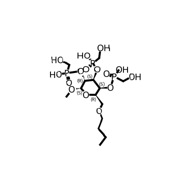 CCCCOC[C@H]1O[C@H](OC)[C@H](OP(=O)(O)CO)[C@@H](OP(=O)(O)CO)[C@H]1OP(=O)(O)CO